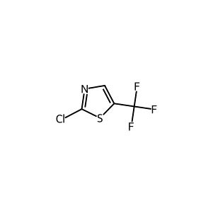 FC(F)(F)c1cnc(Cl)s1